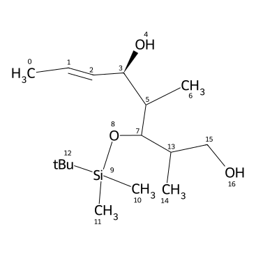 C/C=C/[C@@H](O)C(C)C(O[Si](C)(C)C(C)(C)C)C(C)CO